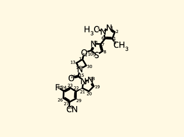 Cc1cnn(C)c1-c1csc(OC2CN(C(=O)N3N=CC[C@H]3c3cc(F)cc(C#N)c3)C2)n1